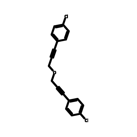 Clc1ccc(C#CCOCC#Cc2ccc(Cl)cc2)cc1